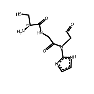 N[C@@H](CS)C(=O)NCC(=O)N(C[C]=O)c1ncc[nH]1